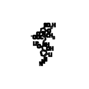 [Li+].[Li][c]1c(N=[N+]=[N-])ccc(C(=O)NCCC(C)(C(=O)[O-])N2C(=O)CC(S(=O)(=O)O)C2=O)c1O